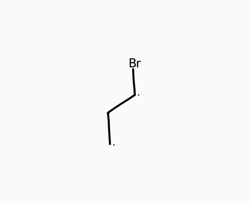 [CH2]C[CH]Br